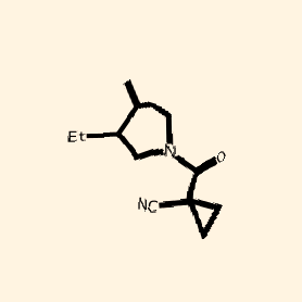 CCC1CN(C(=O)C2(C#N)CC2)CC1C